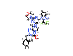 CN[C@H](Cc1ccccc1)C(=O)N1CCN(c2cc(-n3c(C(F)F)nc4ccccc43)nc(N3CCOCC3)n2)CC1